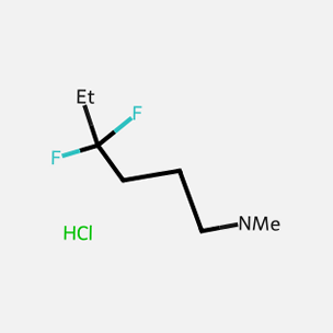 CCC(F)(F)CCCNC.Cl